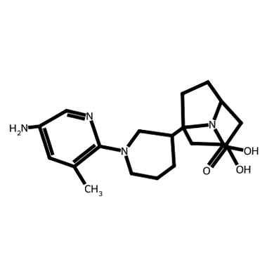 Cc1cc(N)cnc1N1CCCC(C23CCC(CC(O)C2)N3C(=O)O)C1